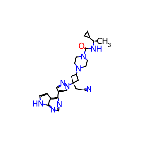 C[C@@H](NC(=O)N1CCN([C@H]2C[C@](CC#N)(n3cc(-c4ncnc5[nH]ccc45)cn3)C2)CC1)C1CC1